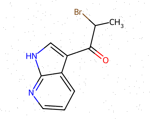 CC(Br)C(=O)c1c[nH]c2ncccc12